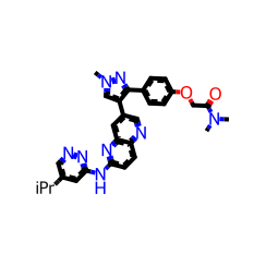 CC(C)c1cnnc(Nc2ccc3ncc(-c4cn(C)nc4-c4ccc(OCC(=O)N(C)C)cc4)cc3n2)c1